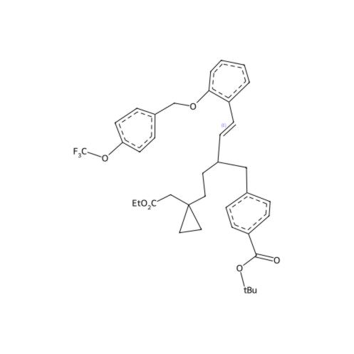 CCOC(=O)CC1(CCC(/C=C/c2ccccc2OCc2ccc(OC(F)(F)F)cc2)Cc2ccc(C(=O)OC(C)(C)C)cc2)CC1